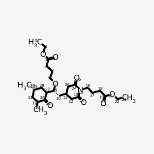 CCOC(=O)CCCO[C@H](CC1CC(=O)N(CCCC(=O)OCC)C(=O)C1)C1C[C@@H](C)CC(C)C1=O